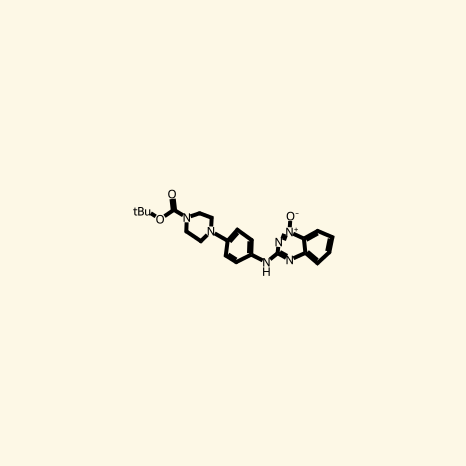 CC(C)(C)OC(=O)N1CCN(c2ccc(Nc3nc4ccccc4[n+]([O-])n3)cc2)CC1